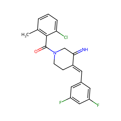 Cc1cccc(Cl)c1C(=O)N1CC/C(=C\c2cc(F)cc(F)c2)C(=N)C1